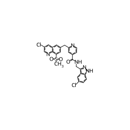 CS(=O)(=O)c1cc(Cc2cc(C(=O)NCc3n[nH]c4ccc(Cl)cc34)ccn2)cc2cc(Cl)cnc12